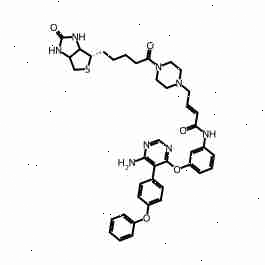 Nc1ncnc(Oc2cccc(NC(=O)/C=C/CN3CCN(C(=O)CCCC[C@@H]4SCC5NC(=O)NC54)CC3)c2)c1-c1ccc(Oc2ccccc2)cc1